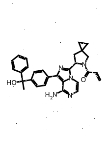 C=CC(=O)N1CC2(CC2)CC1c1nc(-c2ccc(C(C)(O)c3ccccc3)cc2)c2c(N)nccn12